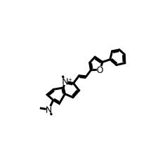 CN(C)c1ccc2c(ccc(/C=C/c3ccc(-c4ccccc4)o3)[n+]2C)c1